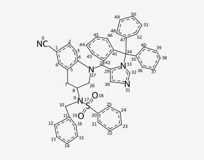 N#Cc1ccc2c(c1)CC(N(Cc1ccccc1)S(=O)(=O)c1ccccc1)CN2Cc1cncn1C(c1ccccc1)(c1ccccc1)c1ccccc1